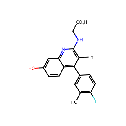 Cc1cc(-c2c(C(C)C)c(NCC(=O)O)nc3cc(O)ccc23)ccc1F